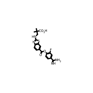 CC(C)(CNc1nc2ccc(C(=O)Oc3ccc(C(=N)N)cc3F)cc2s1)C(=O)O